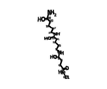 CCNC(=O)CCC(O)NCCCCC(O)NCCCCC(N)O